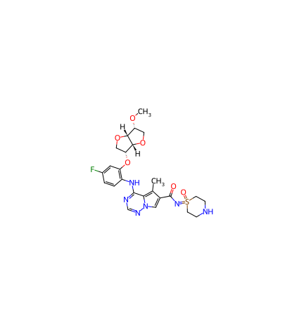 CO[C@@H]1CO[C@H]2[C@@H]1OC[C@H]2Oc1cc(F)ccc1Nc1ncnn2cc(C(=O)N=S3(=O)CCNCC3)c(C)c12